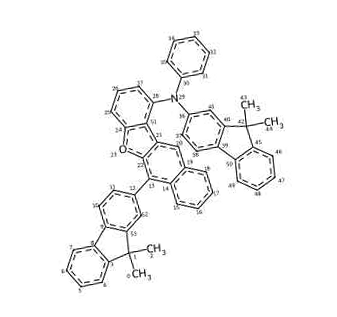 CC1(C)c2ccccc2-c2ccc(-c3c4ccccc4cc4c3oc3cccc(N(c5ccccc5)c5ccc6c(c5)C(C)(C)c5ccccc5-6)c34)cc21